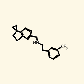 FC(F)(F)c1cccc(CCNCc2ccc3c(c2)CCC32CC2)c1